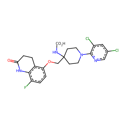 O=C(O)NC1(COc2ccc(F)c3c2CCC(=O)N3)CCN(c2ncc(Cl)cc2Cl)CC1